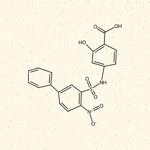 O=C(O)c1ccc(NS(=O)(=O)c2cc(-c3ccccc3)ccc2[N+](=O)[O-])cc1O